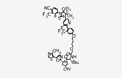 Cc1ncsc1-c1cnc([C@@H]2C[C@@H](O)CN2C(=O)[C@@H](NC(=O)COCCCCOc2ccc(-c3ncc(N4C(=S)N(c5ccc(C#N)c(C(F)(F)F)c5F)C(=O)C4(C)C)cc3F)c(C(F)(F)F)c2)C(C)(C)C)o1